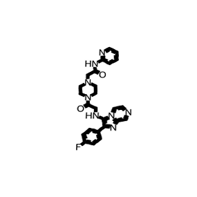 O=C(CN1CCN(C(=O)CNc2c(-c3ccc(F)cc3)nc3cnccn23)CC1)Nc1ccccn1